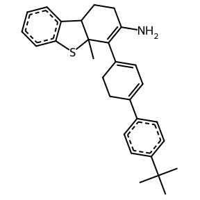 CC(C)(C)c1ccc(C2=CC=C(C3=C(N)CCC4c5ccccc5SC34C)CC2)cc1